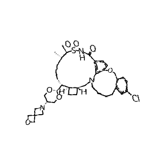 C[C@@H]1[C@@H](C)CCC[C@@H]([C@H]2OC[C@@H](N3CC4(COC4)C3)CO2)[C@@H]2CC[C@H]2CN2CCCCc3cc(Cl)ccc3COc3ccc(cc32)C(=O)NS1(=O)=O